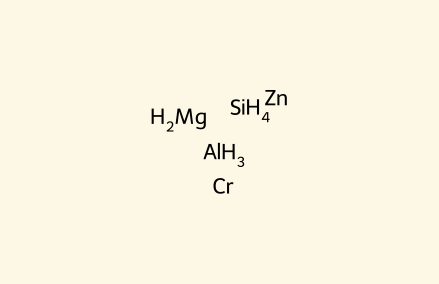 [AlH3].[Cr].[MgH2].[SiH4].[Zn]